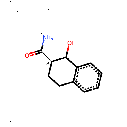 NC(=O)[C@H]1CCc2ccccc2C1O